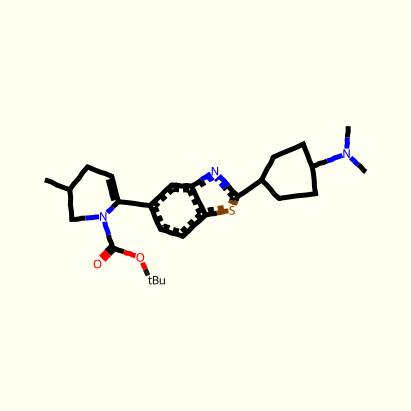 CC1CC=C(c2ccc3sc(C4CCC(N(C)C)CC4)nc3c2)N(C(=O)OC(C)(C)C)C1